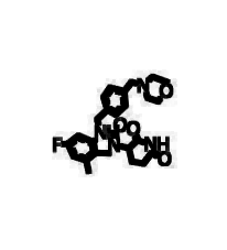 Cc1cc(F)cc(NCc2ccc(CN3CCOCC3)cc2)c1CN(C=O)C1CCC(=O)NC1=O